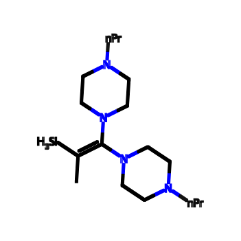 CCCN1CCN(C(=C(C)[SiH3])N2CCN(CCC)CC2)CC1